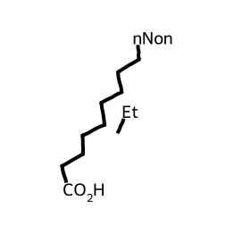 CCC.CCCCCCCCCCCCCCCCCC(=O)O